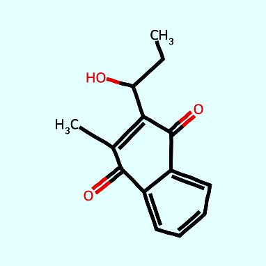 CCC(O)C1=C(C)C(=O)c2ccccc2C1=O